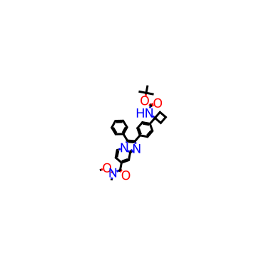 CON(C)C(=O)c1ccn2c(-c3ccccc3)c(-c3ccc(C4(NC(=O)OC(C)(C)C)CCC4)cc3)nc2c1